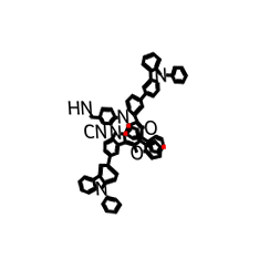 N#Cc1c(C=N)ccc(-n2c3ccc(-c4ccc5c(c4)c4ccccc4n5-c4ccccc4)cc3c3c4oc5ccccc5c4ccc32)c1-n1c2ccc(-c3ccc4c(c3)c3ccccc3n4-c3ccccc3)cc2c2c3oc4ccccc4c3ccc21